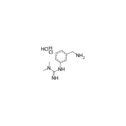 CN(C)C(=N)Nc1cccc(CN)c1.Cl.Cl